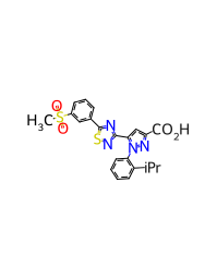 CC(C)c1ccccc1-n1nc(C(=O)O)cc1-c1nsc(-c2cccc(S(C)(=O)=O)c2)n1